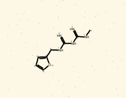 CNC(=N)NC(=N)NCc1ccco1